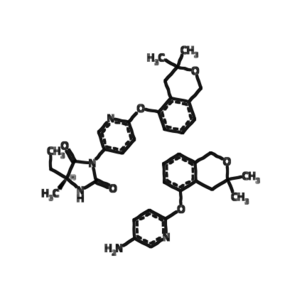 CC1(C)Cc2c(cccc2Oc2ccc(N)cn2)CO1.CC[C@@]1(C)NC(=O)N(c2ccc(Oc3cccc4c3CC(C)(C)OC4)nc2)C1=O